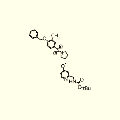 Cc1cc(S(=O)(=O)N2CC[C@H](COc3ccnc(CNC(=O)OC(C)(C)C)c3)C2)ccc1OCc1ccccc1